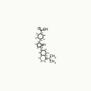 CC(C)N1CCCc2cc(-c3ccc(-c4ccc(C(=O)O)cc4)[nH]3)ccc21